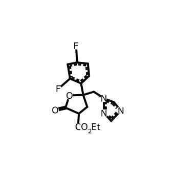 CCOC(=O)C1CC(Cn2cncn2)(c2ccc(F)cc2F)OC1=O